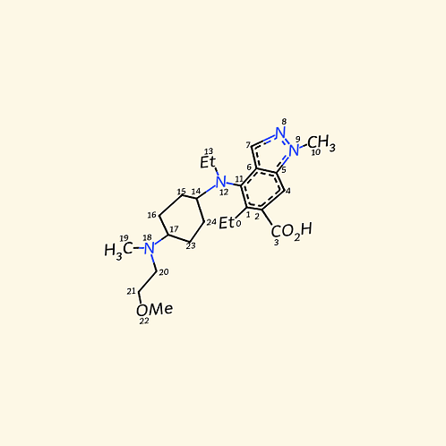 CCc1c(C(=O)O)cc2c(cnn2C)c1N(CC)C1CCC(N(C)CCOC)CC1